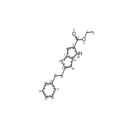 CCOC(=O)c1cc2sc(CCc3ccccc3)cc2[nH]1